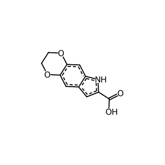 O=C(O)c1cc2cc3c(cc2[nH]1)OCCO3